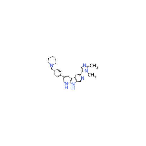 Cc1ncc(-c2cc3c4c([nH]c3cn2)NCC(c2ccc(CN3CCCCC3)cc2)=C4)n1C